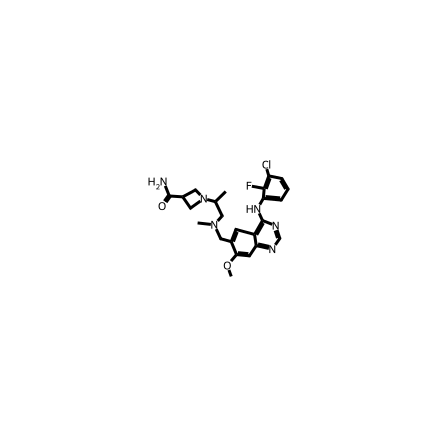 COc1cc2ncnc(Nc3cccc(Cl)c3F)c2cc1CN(C)CC(C)N1CC(C(N)=O)C1